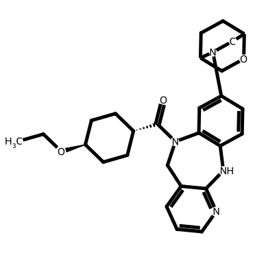 CCO[C@H]1CC[C@H](C(=O)N2Cc3cccnc3Nc3ccc(N4CC5CCC4CO5)cc32)CC1